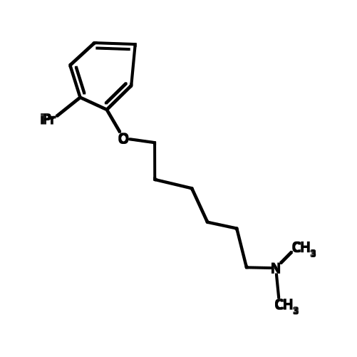 CC(C)c1ccccc1OCCCCCCN(C)C